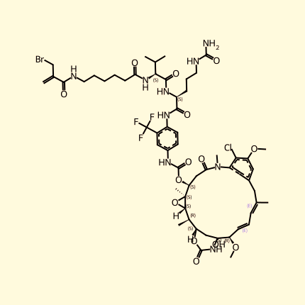 C=C(CBr)C(=O)NCCCCCC(=O)N[C@H](C(=O)N[C@@H](CCCNC(N)=O)C(=O)Nc1ccc(NC(=O)O[C@H]2CC(=O)N(C)c3cc(cc(OC)c3Cl)C/C(C)=C/C=C/[C@@H](OC)[C@@]3(O)C[C@H](OC(=O)N3)[C@@H](C)[C@@H]3O[C@@]23C)cc1C(F)(F)F)C(C)C